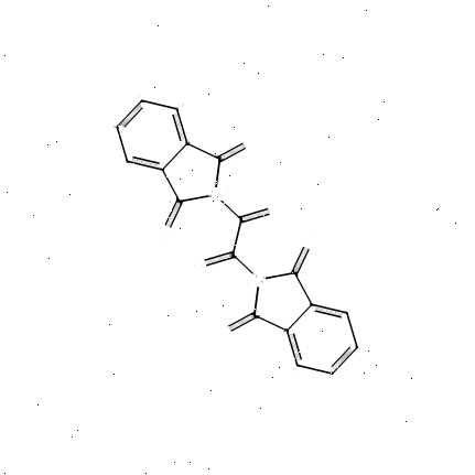 O=C(C(=O)N1C(=O)c2ccccc2C1=O)N1C(=O)c2ccccc2C1=O